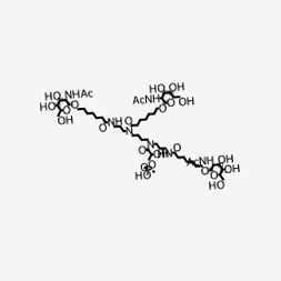 CC(=O)NC1[C@H](OCCCCCCC(=O)NCCCN(CCCCN(CCCNC(=O)CCCCCCO[C@@H]2OC(CO)[C@H](O)[C@H](O)C2NC(C)=O)C(=O)C(O)COP(C)(=O)O)C(=O)CCCCCCO[C@@H]2OC(CO)[C@H](O)[C@H](O)C2NC(C)=O)OC(CO)[C@H](O)[C@@H]1O